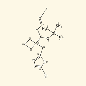 CC(C)(C)[Si](C)(C)OC(C/C=C/I)C1(Cc2ccc(Cl)s2)CCC1